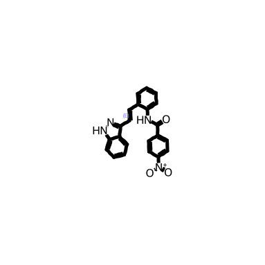 O=C(Nc1ccccc1/C=C/c1n[nH]c2ccccc12)c1ccc([N+](=O)[O-])cc1